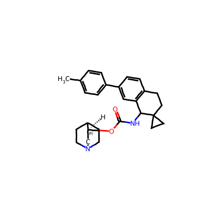 Cc1ccc(-c2ccc3c(c2)C(NC(=O)O[C@H]2CN4CCC2CC4)C2(CC3)CC2)cc1